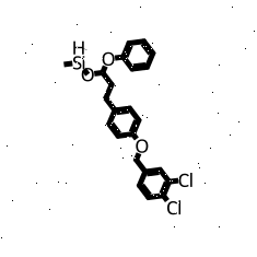 C[SiH](C)OC(CCc1ccc(OCc2ccc(Cl)c(Cl)c2)cc1)Oc1ccccc1